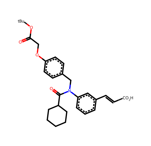 CC(C)(C)OC(=O)COc1ccc(CN(C(=O)C2CCCCC2)c2cccc(/C=C/C(=O)O)c2)cc1